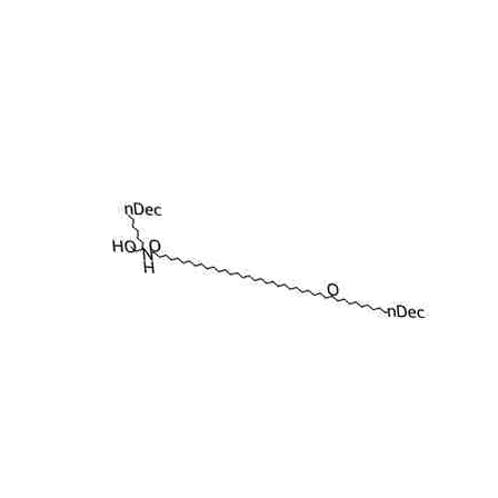 CCCCCCCCCCCCCCCCCCCC(=O)CCCCCCCCCCCCCCCCCCCCCCCCCCCCCC(=O)NC(CO)CCCCCCCCCCCCCCCC